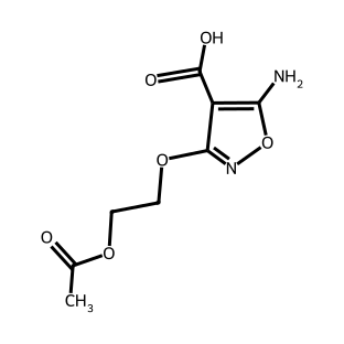 CC(=O)OCCOc1noc(N)c1C(=O)O